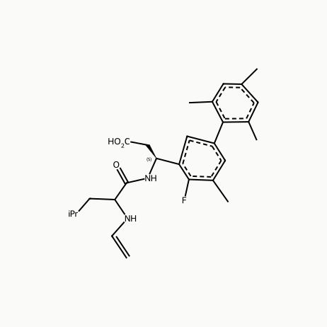 C=CNC(CC(C)C)C(=O)N[C@@H](CC(=O)O)c1cc(-c2c(C)cc(C)cc2C)cc(C)c1F